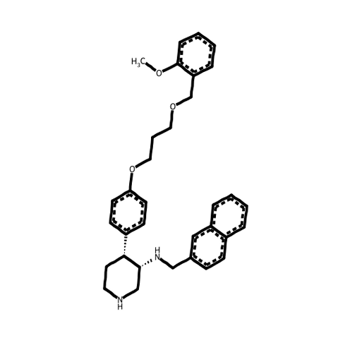 COc1ccccc1COCCCOc1ccc([C@H]2CCNC[C@H]2NCc2ccc3ccccc3c2)cc1